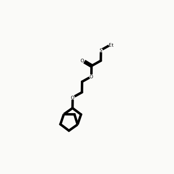 CCSCC(=O)OCCOC1CC2CCC1C2